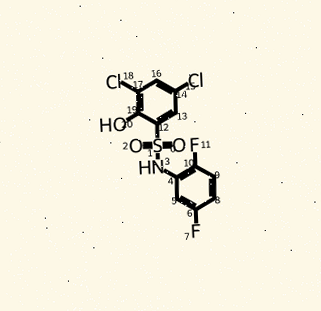 O=S(=O)(Nc1cc(F)ccc1F)c1cc(Cl)cc(Cl)c1O